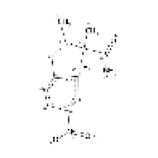 CN(Cc1ccc([N+](=O)[O-])cc1)C(C)(C)C(N)=O